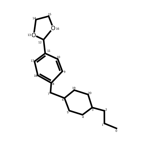 CCCC1CCC(Cc2ccc(C3OCCO3)cc2)CC1